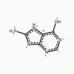 Oc1ncnc2nc(P)[nH]c12